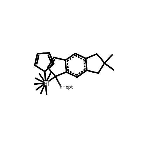 CCCCCCC[C]1([Hf]([CH3])([CH3])([CH3])([CH3])([CH3])([CH3])([CH3])[CH]2C=CC=C2)C=Cc2cc3c(cc21)CC(C)(C)C3